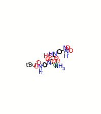 CC(C)(C)OC(=O)Nc1ccc(N(CCCl)C(=O)[C@H](O)[C@@H](O)C(=O)Nc2ccc(-c3noc(=O)[nH]3)cc2)cc1.N